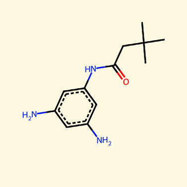 CC(C)(C)CC(=O)Nc1cc(N)cc(N)c1